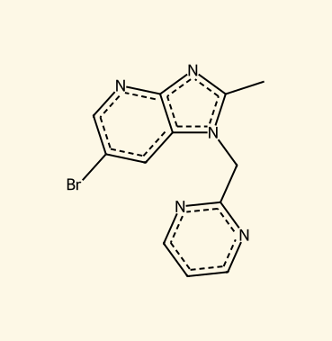 Cc1nc2ncc(Br)cc2n1Cc1ncccn1